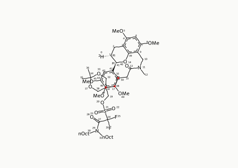 [2H][C@@H]1Cc2c(OC)cc(OC)c(CN(C)C(=O)COCC3(COS(=O)(=O)C(F)(F)C(=O)N(CCCCCCCC)CCCCCCCC)COC(C)(C)OC3)c2O[C@H]1c1cc(OC)c(OC)c(OC)c1